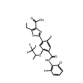 CCc1oc(-c2cc(OC(C)C(F)(F)F)c(C(=O)Nc3c(F)cccc3Cl)cc2F)nc1C(=O)O